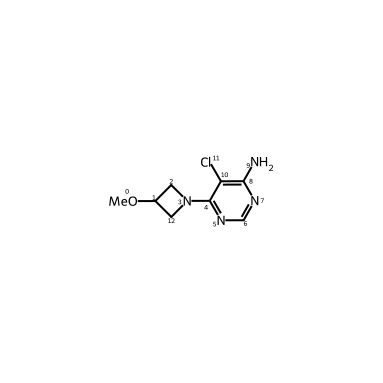 COC1CN(c2ncnc(N)c2Cl)C1